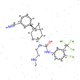 CNCCN(C(=O)Nc1ccc(F)c(C(F)(F)F)c1)[C@@H]1CC[C@]2(c3cccc(C#N)c3)CC2C1